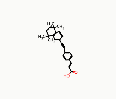 CC1(C)CCC(C)(C)c2cc(C#Cc3ccc(C=CC(=O)O)cc3)ccc21